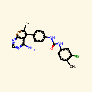 CCc1sc2ncnc(N)c2c1-c1ccc(NC(=O)Nc2ccc(C)c(Br)c2)cc1